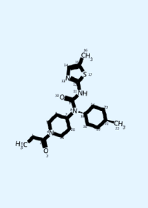 CCC(=O)N1CCC(N(C(=O)Nc2ncc(C)s2)[C@H]2CC[C@H](C)CC2)CC1